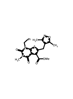 COC(=O)c1c(Cc2c(C)noc2C)sc2c1c(=O)n(C)c(=O)n2CC(C)C